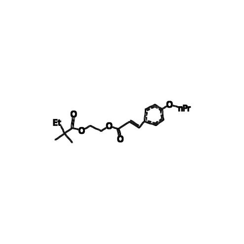 CCCOc1ccc(/C=C/C(=O)OCCOC(=O)C(C)(C)CC)cc1